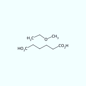 O=C(O)CCCCC(=O)O.[CH2]COC